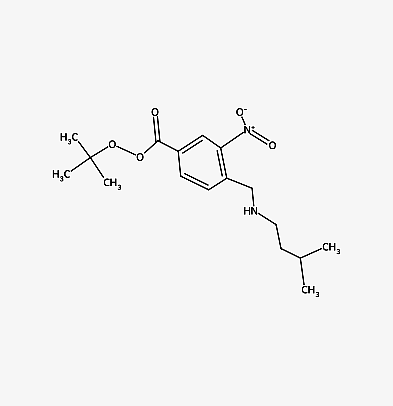 CC(C)CCNCc1ccc(C(=O)OOC(C)(C)C)cc1[N+](=O)[O-]